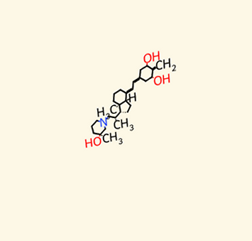 C=C1[C@H](O)CC(=C/C=C2\CCC[C@]3(C)[C@@H]([C@H](C)CN4CCC[C@](C)(O)C4)CC[C@@H]23)C[C@H]1O